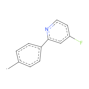 [CH2]c1ccc(-c2cc(F)ccn2)cc1